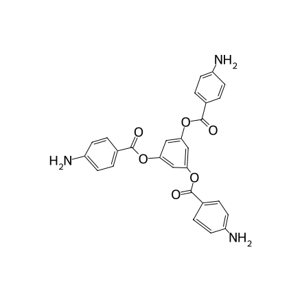 Nc1ccc(C(=O)Oc2cc(OC(=O)c3ccc(N)cc3)cc(OC(=O)c3ccc(N)cc3)c2)cc1